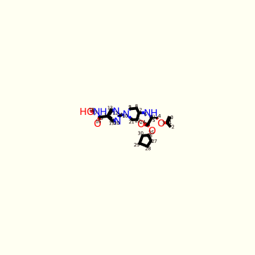 C=C(C)OC[C@H](NC1CCN(c2ncc(C(=O)NO)cn2)CC1)C(=O)OC1CCCC1